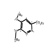 CCCCOc1cc(C(=O)OCC)nnc1OCCCC